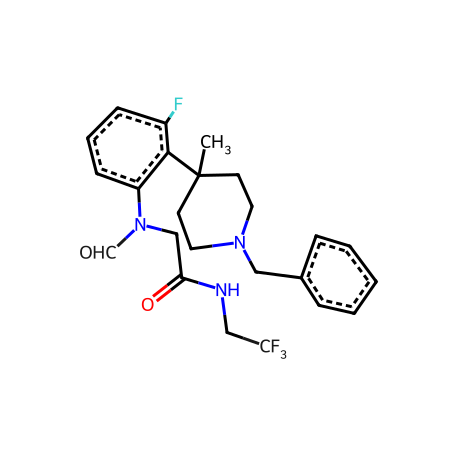 CC1(c2c(F)cccc2N(C=O)CC(=O)NCC(F)(F)F)CCN(Cc2ccccc2)CC1